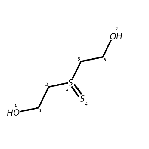 OCCS(=S)CCO